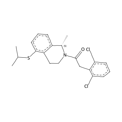 CC(C)Sc1cccc2c1CCN(C(=O)Cc1c(Cl)cccc1Cl)[C@H]2C